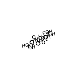 O=C(O)CN(C(=O)c1ccc(B(O)O)c(F)c1)[C@H]1CCCC[C@H]1NC(=O)c1ccc(B(O)O)c(F)c1